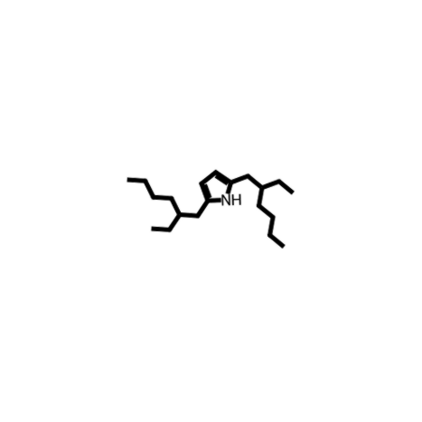 CCCCC(CC)Cc1ccc(CC(CC)CCCC)[nH]1